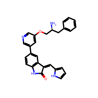 N[C@H](COc1cncc(-c2ccc3c(c2)/C(=C/c2ccc[nH]2)C(=O)N3)c1)Cc1ccccc1